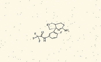 NC1=NC2(c3cc(NC(=O)C(F)(F)F)ccc3F)COCC2CS1